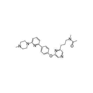 CC(=O)N(C)CCCc1cncc(Oc2ccc(-c3cccc(N4CCN(C)CC4)n3)cc2)n1